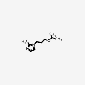 Cc1nccn1CCCOC(C)C